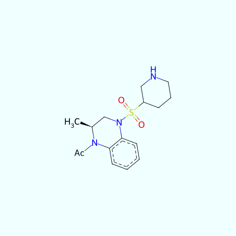 CC(=O)N1c2ccccc2N(S(=O)(=O)C2CCCNC2)C[C@@H]1C